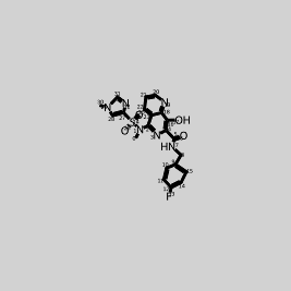 CN(c1nc(C(=O)NCc2ccc(F)cc2)c(O)c2ncccc12)S(=O)(=O)c1cn(C)cn1